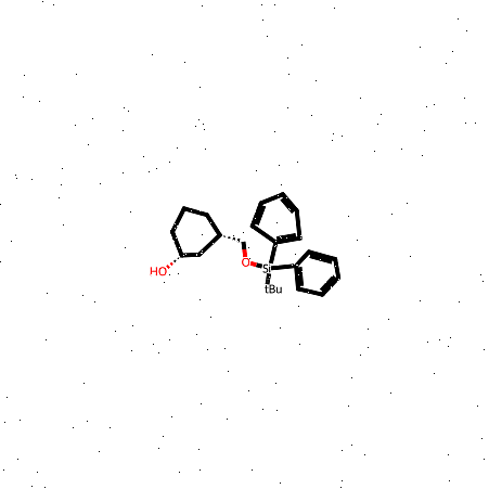 CC(C)(C)[Si](OC[C@H]1CCC[C@@H](O)C1)(c1ccccc1)c1ccccc1